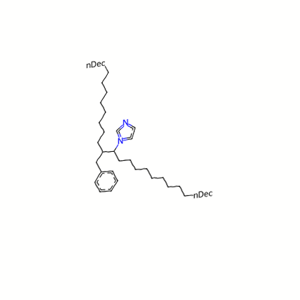 CCCCCCCCCCCCCCCCCCCC(C(CCCCCCCCCCCCCCCCCC)Cc1ccccc1)n1ccnc1